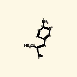 CC(C)(C)C(=Cc1ccc(N)nc1)C(=O)O